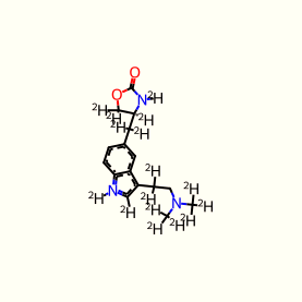 [2H]c1c(C([2H])([2H])CN(C([2H])([2H])[2H])C([2H])([2H])[2H])c2cc(C([2H])([2H])[C@]3([2H])N([2H])C(=O)OC3([2H])[2H])ccc2n1[2H]